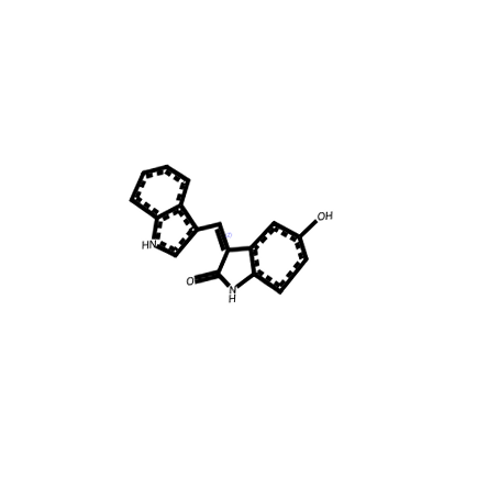 O=C1Nc2ccc(O)cc2/C1=C/c1c[nH]c2ccccc12